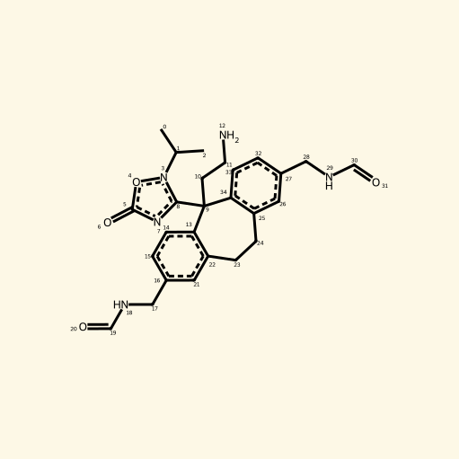 CC(C)n1oc(=O)nc1C1(CCN)c2ccc(CNC=O)cc2CCc2cc(CNC=O)ccc21